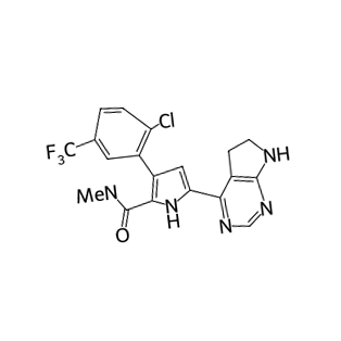 CNC(=O)c1[nH]c(-c2ncnc3c2CCN3)cc1-c1cc(C(F)(F)F)ccc1Cl